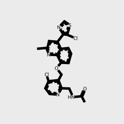 CC(=O)NCc1nccc(Cl)c1COc1cccc2c(-c3ncsc3Cl)cc(C)nc12